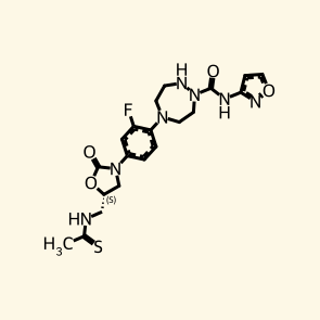 CC(=S)NC[C@H]1CN(c2ccc(N3CCNN(C(=O)Nc4ccon4)CC3)c(F)c2)C(=O)O1